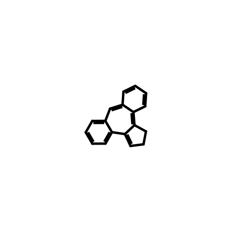 C1=C2C(=c3ccccc3=Cc3ccccc32)CC1